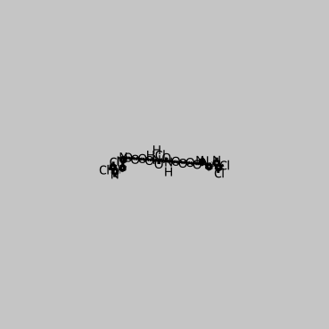 CN1Cc2c(Cl)cc(Cl)cc2[C@H](c2cccc(-c3cc(OCCOCCOCCOCCNC(=O)CCC(=O)NCCOCCOCCOCCOc4cc(-c5cccc([C@@H]6CN(C)Cc7c(Cl)cc(Cl)cc76)c5)ncn4)ncn3)c2)C1.Cl